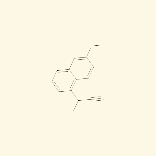 COc1ccc2c(C(C)C#N)cccc2c1